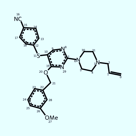 C=CCN1CCN(c2ncc(Sc3ccc(C#N)cc3)c(OCc3cccc(OC)c3)n2)CC1